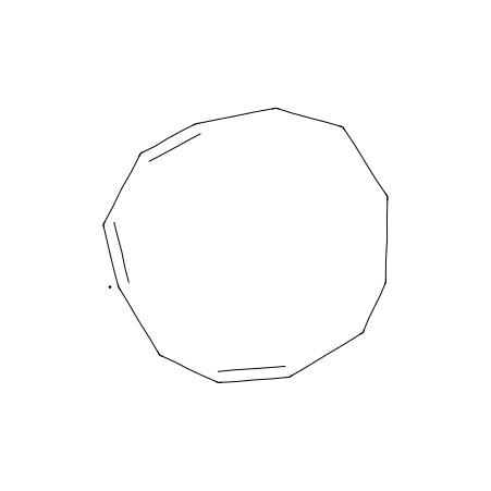 [C]1=CC=CCCCCCC=CC1